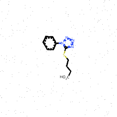 O=C(O)CCCSc1nnnn1-c1ccccc1